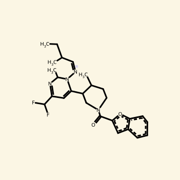 CCC(C)/C=N\N1C(C2CN(C(=O)c3cc4ccccc4o3)CCC2C)=CC(C(F)F)=NC1C